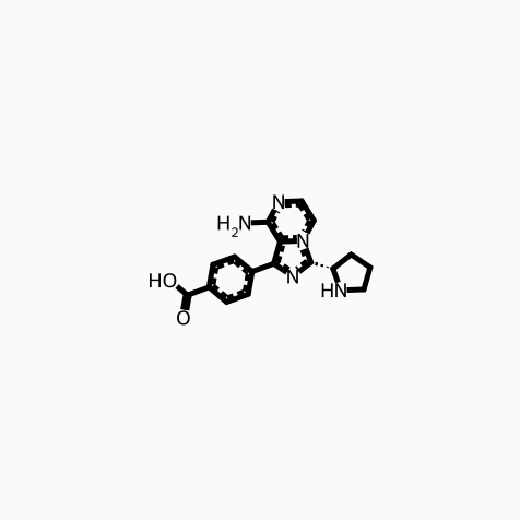 Nc1nccn2c([C@@H]3CCCN3)nc(-c3ccc(C(=O)O)cc3)c12